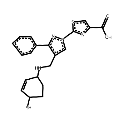 O=C(O)c1csc(-n2cc(CNC3C=CC(S)CC3)c(-c3ccccc3)n2)n1